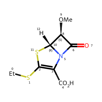 CCSC1=C(C(=O)O)N2C(=O)[C@H](OC)[C@H]2S1